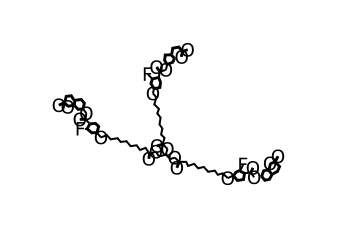 O=C(CCCCCCCCCOc1ccc(C(=O)Oc2ccc3ccc(=O)oc3c2)c(F)c1)OCC(COC(=O)CCCCCCCCCOc1ccc(C(=O)Oc2ccc3ccc(=O)oc3c2)c(F)c1)OC(=O)CCCCCCCCCOc1ccc(C(=O)Oc2ccc3ccc(=O)oc3c2)c(F)c1